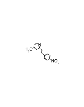 Cc1ccnc(C=Cc2ccc([N+](=O)[O-])cc2)c1